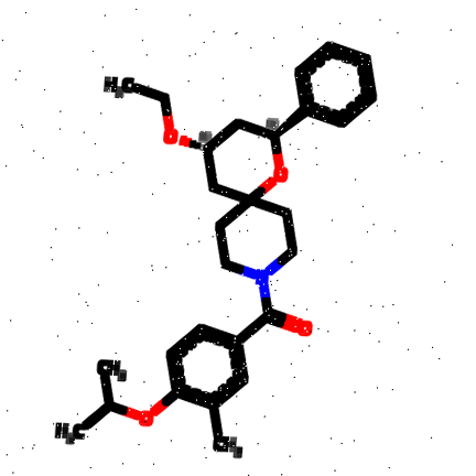 CCO[C@@H]1C[C@@H](c2ccccc2)OC2(CCN(C(=O)c3ccc(OC(C)C)c(C)c3)CC2)C1